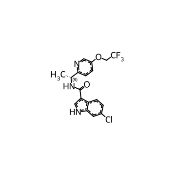 C[C@@H](NC(=O)c1c[nH]c2cc(Cl)ccc12)c1ccc(OCC(F)(F)F)cn1